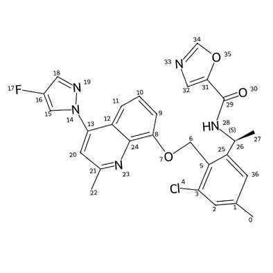 Cc1cc(Cl)c(COc2cccc3c(-n4cc(F)cn4)cc(C)nc23)c([C@H](C)NC(=O)c2cnco2)c1